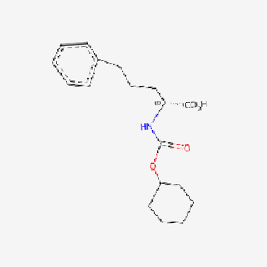 O=C(N[C@H](CCCc1ccccc1)C(=O)O)OC1CCCCC1